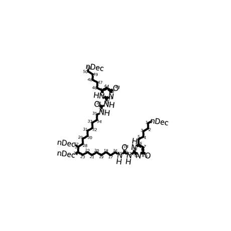 CCCCCCCCCCCCCCCc1cc(=O)nc(NC(=O)NCCCCCCCCC(CCCCCCCCCC)C(CCCCCCCCCC)CCCCCCCCNC(=O)Nc2nc(=O)cc(CCCCCCCCCCCCCCC)[nH]2)[nH]1